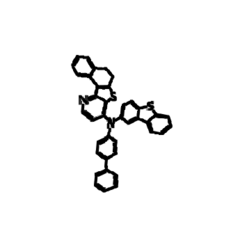 c1ccc(-c2ccc(N(c3ccc4sc5ccccc5c4c3)c3ccnc4c5c(sc34)CCc3ccccc3-5)cc2)cc1